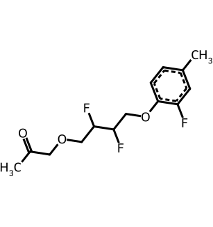 CC(=O)COCC(F)C(F)COc1ccc(C)cc1F